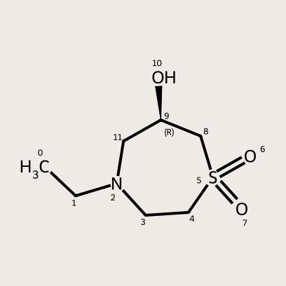 CCN1CCS(=O)(=O)C[C@H](O)C1